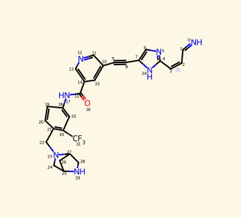 N=C/C=C\c1ncc(C#Cc2cncc(C(=O)Nc3ccc(CN4CC5CC4CN5)c(C(F)(F)F)c3)c2)[nH]1